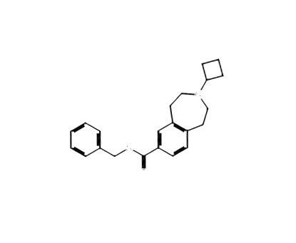 O=C(NCc1ccccc1)c1ccc2c(c1)CCN(C1CCC1)CC2